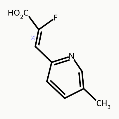 Cc1ccc(/C=C(\F)C(=O)O)nc1